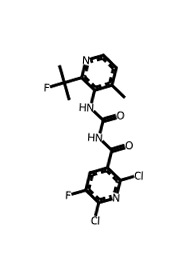 Cc1ccnc(C(C)(C)F)c1NC(=O)NC(=O)c1cc(F)c(Cl)nc1Cl